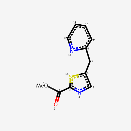 COC(=O)c1ncc(Cc2ccccn2)s1